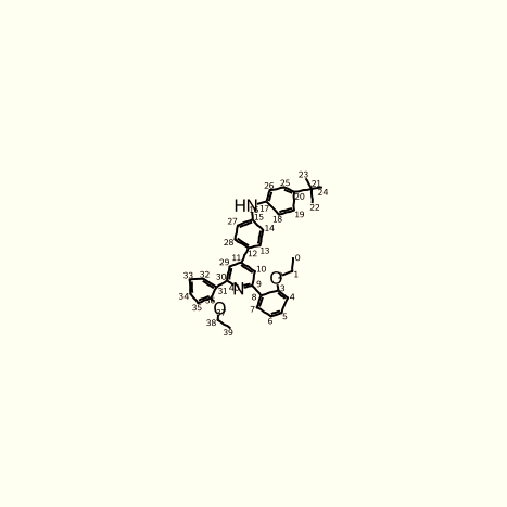 CCOc1ccccc1-c1cc(-c2ccc(Nc3ccc(C(C)(C)C)cc3)cc2)cc(-c2ccccc2OCC)n1